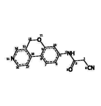 N#CCC(=O)Nc1ccc2c(c1)OCc1cnccc1-2